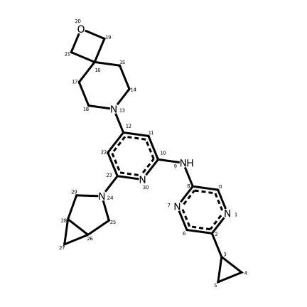 c1nc(C2CC2)cnc1Nc1cc(N2CCC3(CC2)COC3)cc(N2CC3CC3C2)n1